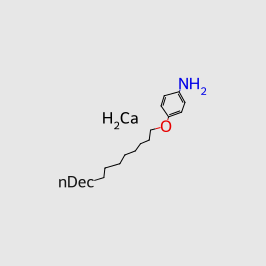 CCCCCCCCCCCCCCCCCCOc1ccc(N)cc1.[CaH2]